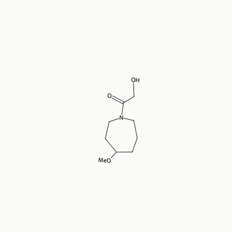 COC1CCCN(C(=O)CO)CC1